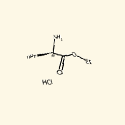 CCC[C@@H](N)C(=O)OCC.Cl